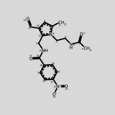 CC(=O)NCCn1c(C)cc(C=O)c1CNC(=O)c1ccc([N+](=O)[O-])cc1